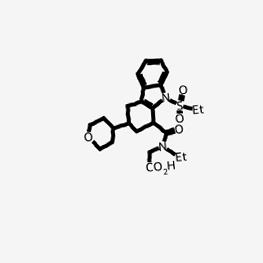 CCN(CC(=O)O)C(=O)C1CC(C2CCOCC2)Cc2c1n(S(=O)(=O)CC)c1ccccc21